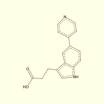 O=C(O)CCc1c[nH]c2ccc(-c3ccncc3)cc12